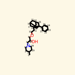 CC1CCN(C[C@@H](O)COCCC23CC4CC(C2)CC(c2ccccc2)(C4)C3)CC1